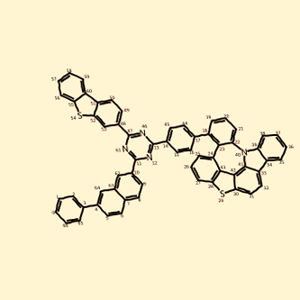 c1ccc(-c2ccc3ccc(-c4nc(-c5ccc(-c6cccc7c6c6cccc8sc9ccc%10c%11ccccc%11n7c%10c9c86)cc5)nc(-c5ccc6c(c5)sc5ccccc56)n4)cc3c2)cc1